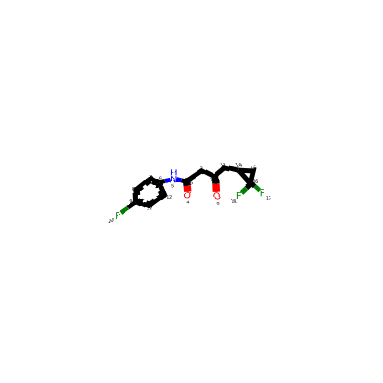 O=C(CC(=O)Nc1ccc(F)cc1)CC1CC1(F)F